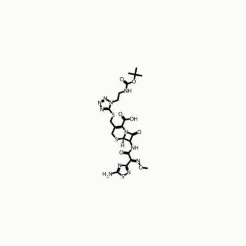 CON=C(C(=O)NC1C(=O)N2C(C(=O)O)=C(CSc3nnnn3CCNC(=O)OC(C)(C)C)CS[C@@H]12)c1nsc(N)n1